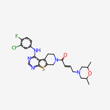 CC1CN(CC=CC(=O)N2CCc3c(sc4ncnc(Nc5ccc(F)c(Cl)c5)c34)C2)CC(C)O1